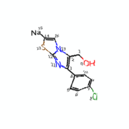 OCc1c(-c2ccc(Cl)cc2)nc2s[c]([Na])cn12